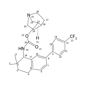 CC1(C)CCc2ccc(-c3ccc(C(F)(F)F)cc3)cc2C1NC(=O)O[C@H]1CN2CCC1CC2